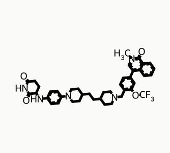 Cn1cc(-c2ccc(CN3CCC(CCC4CCN(c5ccc(NC6CCC(=O)NC6=O)cc5)CC4)CC3)c(OC(F)(F)F)c2)c2ccccc2c1=O